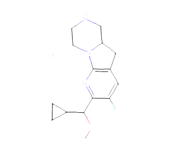 COC(c1nc2c(cc1F)C[C@@H]1CNC[C@@H](C)N21)C1CC1